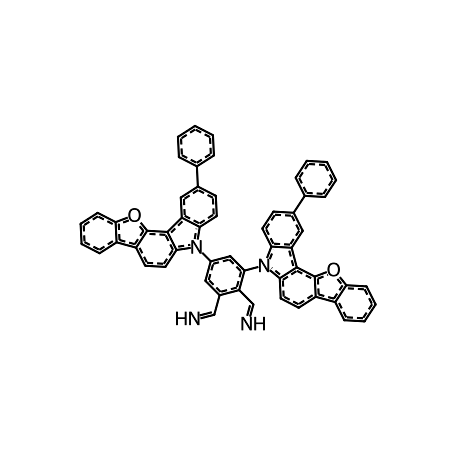 N=Cc1cc(-n2c3ccc(-c4ccccc4)cc3c3c4oc5ccccc5c4ccc32)cc(-n2c3ccc(-c4ccccc4)cc3c3c4oc5ccccc5c4ccc32)c1C=N